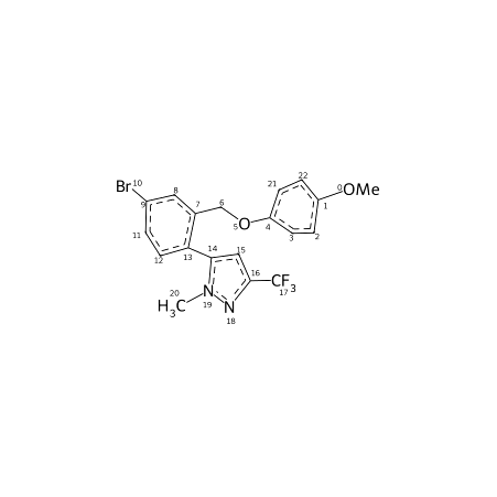 COc1ccc(OCc2cc(Br)ccc2-c2cc(C(F)(F)F)nn2C)cc1